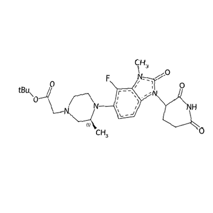 C[C@H]1CN(CC(=O)OC(C)(C)C)CCN1c1ccc2c(c1F)n(C)c(=O)n2C1CCC(=O)NC1=O